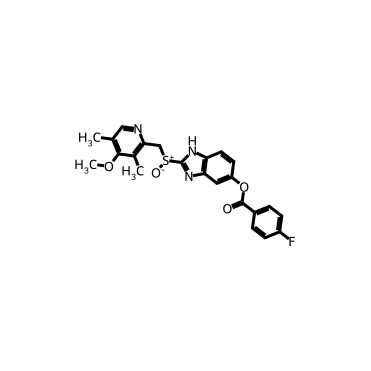 COc1c(C)cnc(C[S+]([O-])c2nc3cc(OC(=O)c4ccc(F)cc4)ccc3[nH]2)c1C